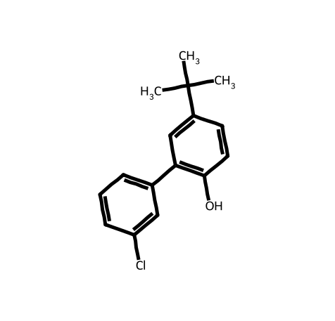 CC(C)(C)c1ccc(O)c(-c2cccc(Cl)c2)c1